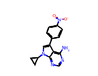 Nc1ncnc2c1c(-c1ccc([N+](=O)[O-])cc1)cn2C1CC1